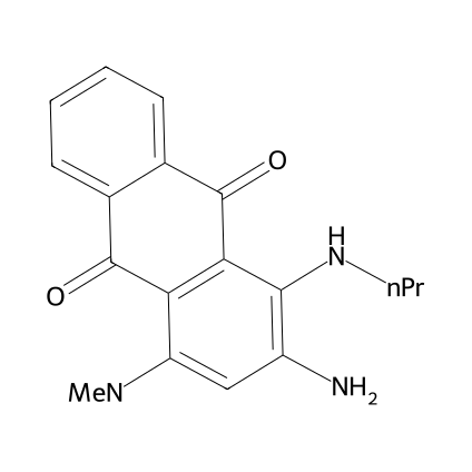 CCCNc1c(N)cc(NC)c2c1C(=O)c1ccccc1C2=O